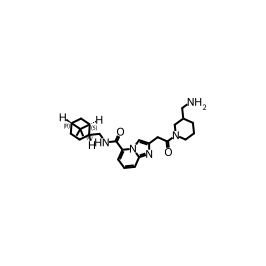 CC1(C)[C@@H]2CC[C@@H](CNC(=O)c3cccc4nc(CC(=O)N5CCCC(CN)C5)cn34)[C@@H]1C2